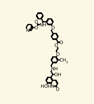 Cc1cc(CNCC(O)c2ccc(O)c3[nH]c(=O)ccc23)ccc1OCCOC(=O)c1ccc(COc2cccc(C(NC(=O)OC3CN4CCC3CC4)c3ccccc3)c2)cc1